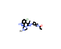 C=CC(=O)N1CC2(CCC(n3nc(N4CCN(C(C)=O)CC4)c(-c4c(Cl)ccc5[nH]ncc45)c3C)C2)C1